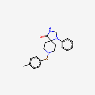 Cc1ccc(SN2CCC3(CC2)C(=O)NCN3c2ccccc2)cc1